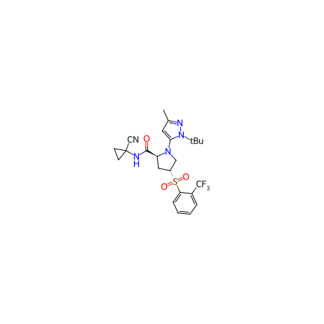 Cc1cc(N2C[C@H](S(=O)(=O)c3ccccc3C(F)(F)F)C[C@H]2C(=O)NC2(C#N)CC2)n(C(C)(C)C)n1